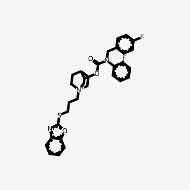 O=C(OC1C[N+]2(CCCSc3nc4ccccc4o3)CCC1CC2)N(Cc1ccc(F)cc1)c1ccccc1F